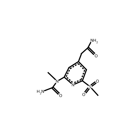 CN(C(N)=O)c1cc([CH]C(N)=O)cc(S(C)(=O)=O)n1